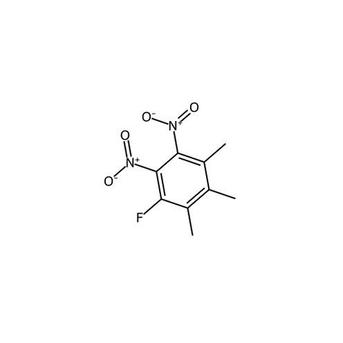 Cc1c(C)c(F)c([N+](=O)[O-])c([N+](=O)[O-])c1C